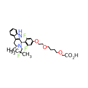 C[C@@H]1Cc2c([nH]c3ccccc23)[C@@H](c2c(F)cc(OCCOCCCCOCC(=O)O)cc2F)N1CC(C)(C)F